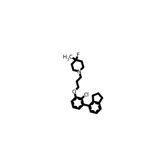 CC1(F)CCN(CCCOc2cccc(-c3cccc4c3CCC4)c2Cl)CC1